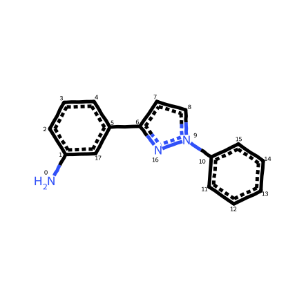 Nc1cccc(-c2ccn(-c3ccccc3)n2)c1